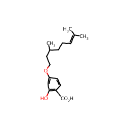 CC(C)=CCCC(C)CCOc1ccc(C(=O)O)c(O)c1